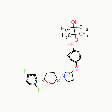 CC(C)(O)C(C)(C)OBc1ccc(O[C@@H]2CCN([C@H]3CC[C@@H](c4cc(F)ccc4F)OC3)C2)cc1